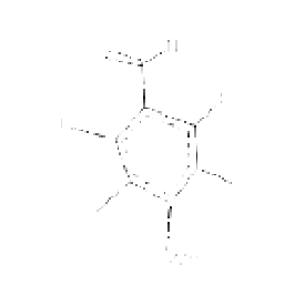 CSc1c(F)c(F)c(C(N)=O)c(F)c1F